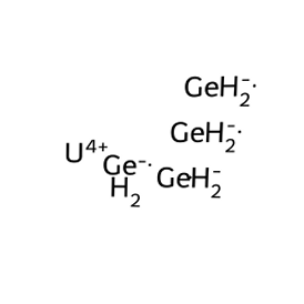 [GeH2-].[GeH2-].[GeH2-].[GeH2-].[U+4]